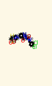 CN(Cc1ccc(Cl)c(Cl)c1)C(=O)Cn1cnc2ccc(N3CCN(C4([SH](=O)=O)CC4)CC3)cc2c1=O